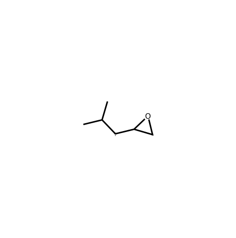 CC(C)[CH]C1CO1